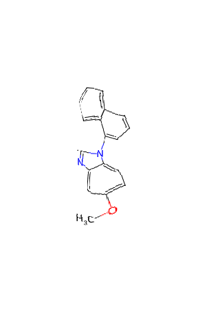 COc1ccc2c(c1)n[c]n2-c1cccc2ccccc12